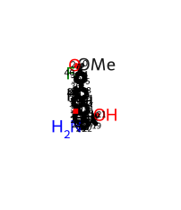 COC(=O)c1ccc(C2=CC[C@]3(C)[C@H]4CC[C@@H]5[C@H]6[C@H](C(C)CO)CC[C@]6(N)CC[C@@]5(C)[C@]4(C)CC[C@H]3C2(C)C)cc1F